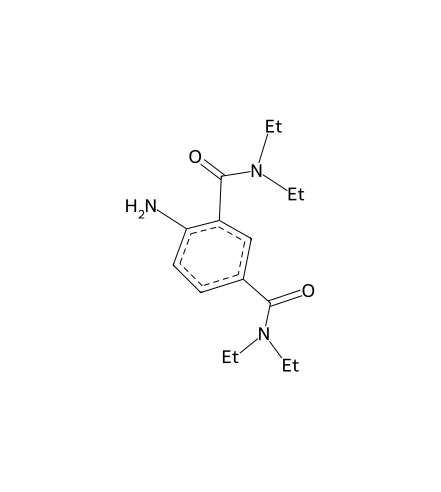 CCN(CC)C(=O)c1ccc(N)c(C(=O)N(CC)CC)c1